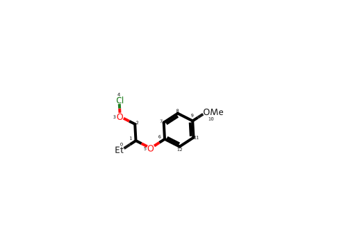 CCC(COCl)Oc1ccc(OC)cc1